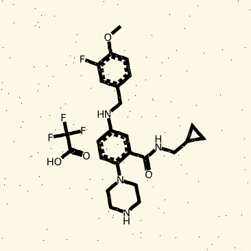 COc1ccc(CNc2ccc(N3CCNCC3)c(C(=O)NCC3CC3)c2)cc1F.O=C(O)C(F)(F)F